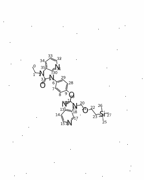 CCn1c(=O)n(-c2ccc(Oc3nc4ccncc4n3COCC[Si](C)(C)C)cc2)c2ncccc21